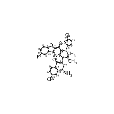 CC(C)C(c1nc2c(oc3ccc(F)cc32)c(=O)n1Cc1ccc(Cl)s1)N(CCN)C(=O)c1ccc(Cl)cc1